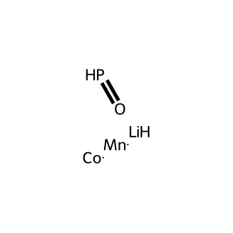 O=P.[Co].[LiH].[Mn]